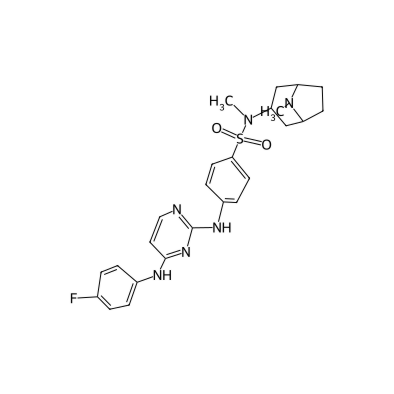 CN1C2CCC1CC(N(C)S(=O)(=O)c1ccc(Nc3nccc(Nc4ccc(F)cc4)n3)cc1)C2